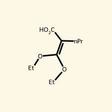 CCCC(C(=O)O)=C(OCC)OCC